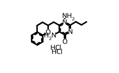 CCCc1nc(=O)c(N)c(CC2CCc3ccccc3O2)n1N.Cl.Cl